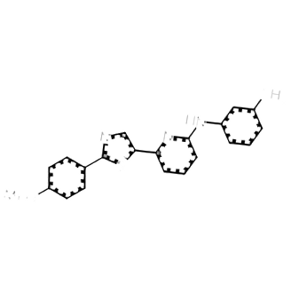 COc1ccc(-c2ncc(-c3cccc(Nc4cccc(C)c4)n3)s2)cc1